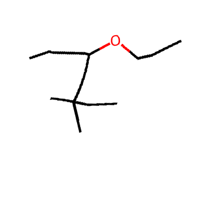 CCOC(CC)C(C)(C)C